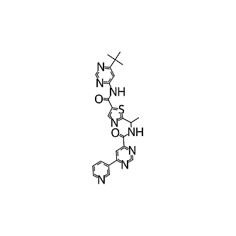 CC(NC(=O)c1cc(-c2cccnc2)ncn1)c1ncc(C(=O)Nc2cc(C(C)(C)C)ncn2)s1